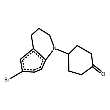 O=C1CCC(N2CCCc3cc(Br)ccc32)CC1